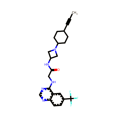 CC#CC1CCC(N2CC(NC(=O)CNc3ncnc4ccc(C(F)(F)F)cc34)C2)CC1